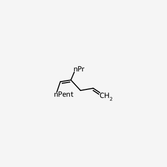 C=CCC(=CCCCCC)CCC